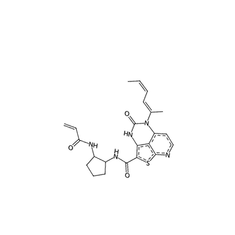 C=CC(=O)NC1CCCC1NC(=O)c1sc2nccc3c2c1NC(=O)N3/C(C)=C/C=C\C